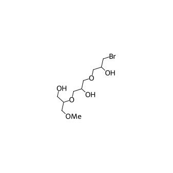 COCC(CO)OCC(O)COCC(O)CBr